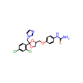 NC(=S)Nc1ccc(OCC2COC(Cn3ccnc3)(c3ccc(Cl)cc3Cl)O2)cc1